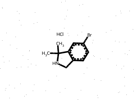 CC1(C)NCc2ccc(Br)cc21.Cl